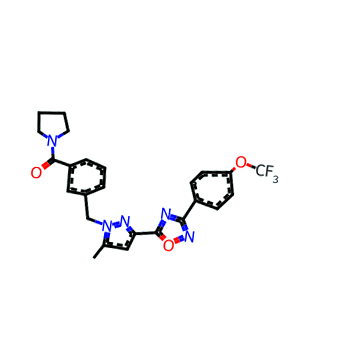 Cc1cc(-c2nc(-c3ccc(OC(F)(F)F)cc3)no2)nn1Cc1cccc(C(=O)N2CCCC2)c1